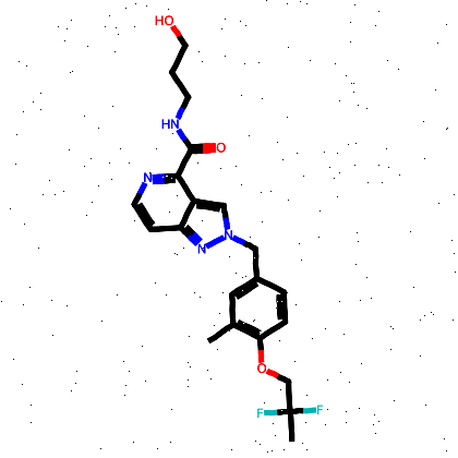 Cc1cc(Cn2cc3c(C(=O)NCCCO)nccc3n2)ccc1OCC(C)(F)F